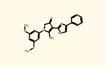 COc1cc(OC)cc(N2CC(=O)C(c3nc(-c4ccccc4)c[nH]3)=C2N)c1